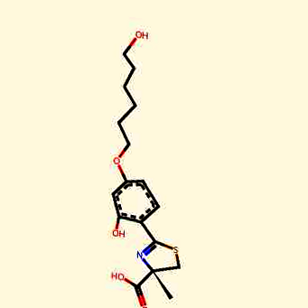 C[C@]1(C(=O)O)CSC(c2ccc(OCCCCCCO)cc2O)=N1